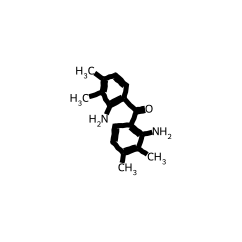 Cc1ccc(C(=O)c2ccc(C)c(C)c2N)c(N)c1C